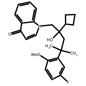 COc1ccc(F)cc1C(C)(C)CC(O)(Cn1ccc(=O)c2ccccc21)C1CCC1